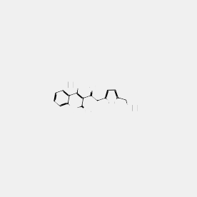 CCc1ccc(CC(=O)c2c(O)c3ccccc3oc2=O)o1